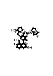 C=Cc1c(F)ccc2cc(O)cc(-c3nc4c5c(nc(OC[C@@]67CCCN6C[C@H](F)C7)nc5c3F)N3CCC[C@H](O)[C@@H]3CO4)c12